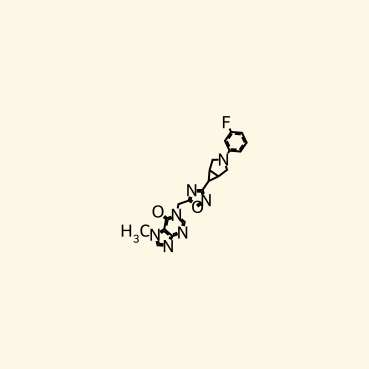 Cn1cnc2ncn(Cc3nc(C4C5CN(c6cccc(F)c6)CC54)no3)c(=O)c21